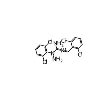 NC(=[N+]=Cc1c(Cl)cccc1Cl)N(N)c1c(Cl)cccc1Cl